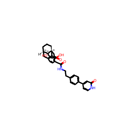 O=C1CC[C@@]2(O)[C@@H]3CCC[C@@]2(C1)c1c(ccc(C(=O)NCCc2ccc(-c4cc[nH]c(=O)c4)cc2)c1O)C3